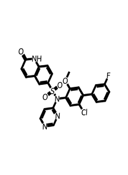 COc1cc(-c2cccc(F)c2)c(Cl)cc1N(c1ccncn1)S(=O)(=O)c1ccc2[nH]c(=O)ccc2c1